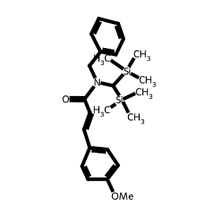 COc1ccc(C=CC(=O)N(Cc2ccccc2)C([Si](C)(C)C)[Si](C)(C)C)cc1